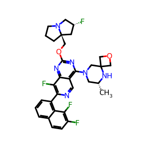 C[C@@H]1CN(c2nc(OC[C@@]34CCCN3C[C@H](F)C4)nc3c(F)c(-c4cccc5ccc(F)c(F)c45)ncc23)CC2(COC2)N1